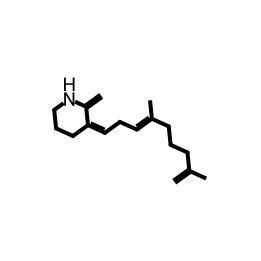 C=C(C)CCC/C(C)=C/C/C=C1/CCCNC1=C